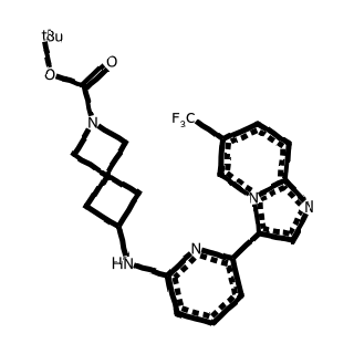 CC(C)(C)OC(=O)N1CC2(CC(Nc3cccc(-c4cnc5ccc(C(F)(F)F)cn45)n3)C2)C1